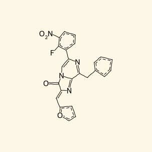 O=C1/C(=C/c2ccco2)N=C2C(Cc3ccccc3)=NC(c3cccc([N+](=O)[O-])c3F)=CN12